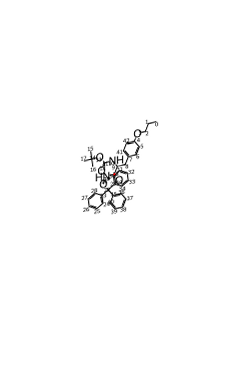 CCCOc1ccc(C[C@H](NC(=O)OC(C)(C)C)C(=O)NOC(c2ccccc2)(c2ccccc2)c2ccccc2)cc1